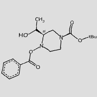 CC(O)[C@H]1CN(C(=O)OC(C)(C)C)CCN1OC(=O)c1ccccc1